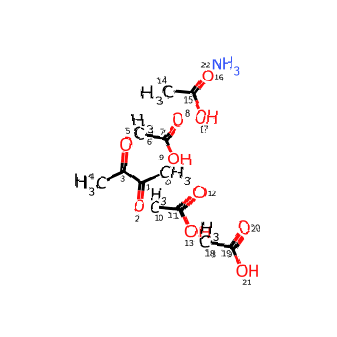 CC(=O)C(C)=O.CC(=O)O.CC(=O)O.CC(=O)O.CC(=O)O.N